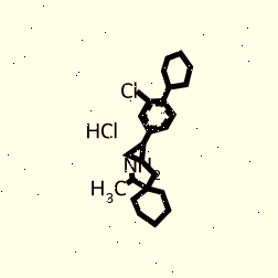 CC(N)C1(CC2CC2c2ccc(C3CCCCC3)c(Cl)c2)CCCCC1.Cl